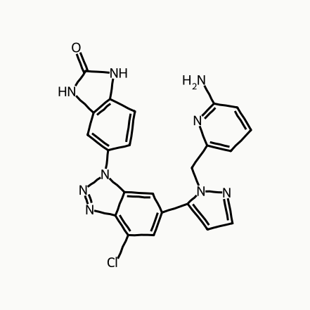 Nc1cccc(Cn2nccc2-c2cc(Cl)c3nnn(-c4ccc5[nH]c(=O)[nH]c5c4)c3c2)n1